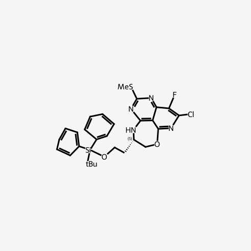 CSc1nc2c3c(nc(Cl)c(F)c3n1)OC[C@H](CCO[Si](c1ccccc1)(c1ccccc1)C(C)(C)C)N2